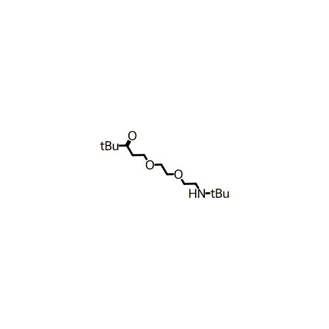 CC(C)(C)NCCOCCOCCC(=O)C(C)(C)C